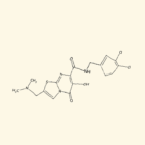 CN(C)Cc1cn2c(=O)c(O)c(C(=O)NCc3ccc(Cl)c(Cl)c3)nc2s1